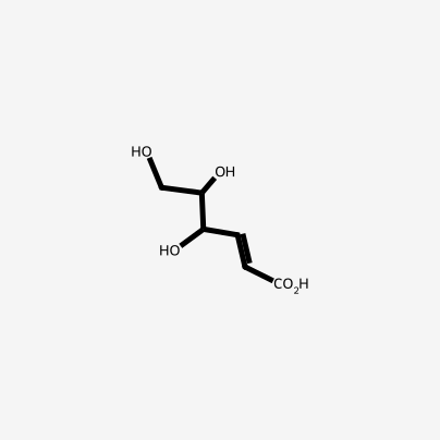 O=C(O)C=CC(O)C(O)CO